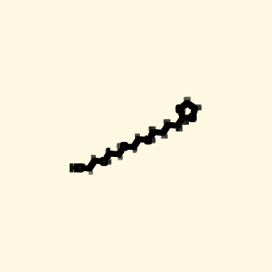 OCCOCCOCCOCCCCC1OCCO1